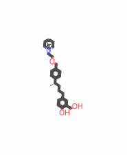 C[C@@H](CCCc1ccc(O)c(CO)c1)c1ccc(COCC[N+]23CCC(CC2)CC3)cc1